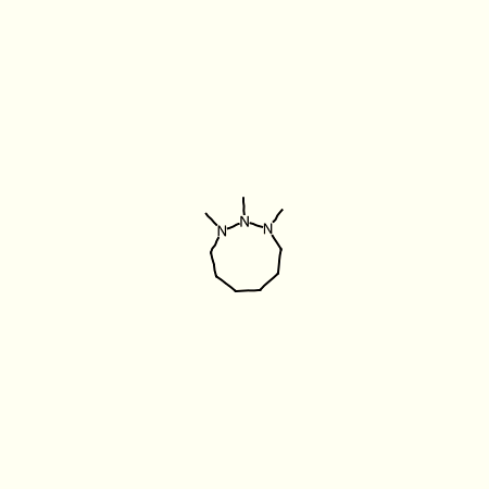 CN1CCCCCCN(C)N1C